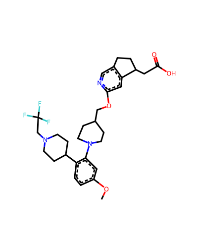 COc1ccc(C2CCN(CC(F)(F)F)CC2)c(N2CCC(COc3cc4c(cn3)CCC4CC(=O)O)CC2)c1